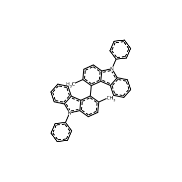 Cc1ccc2c(c1-c1c(C)ccc3c1c1ccccc1n3-c1ccccc1)c1ccccc1n2-c1ccccc1